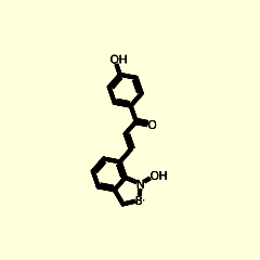 O=C(/C=C/c1cccc2c1N(O)[B]C2)c1ccc(O)cc1